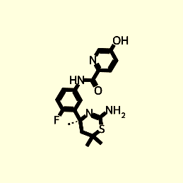 CC1(C)C[C@@](C)(c2cc(NC(=O)c3ccc(O)cn3)ccc2F)N=C(N)S1